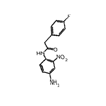 Nc1ccc(NC(=O)Cc2ccc(F)cc2)c([N+](=O)[O-])c1